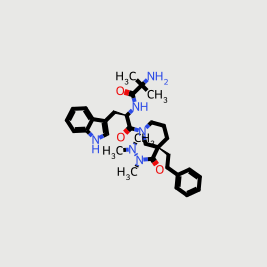 CN(C)N(C)C(=O)[C@@]1(CCc2ccccc2)CCCN(C(=O)[C@@H](Cc2c[nH]c3ccccc23)NC(=O)C(C)(C)N)C1